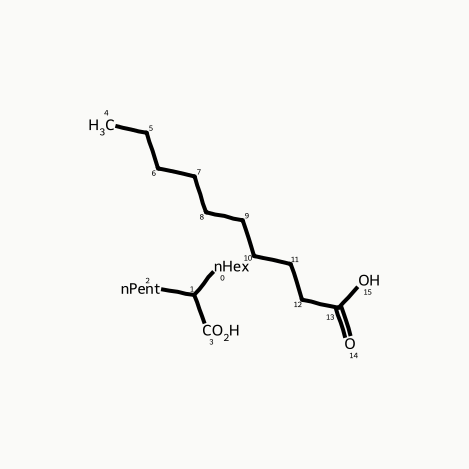 CCCCCCC(CCCCC)C(=O)O.CCCCCCCCCC(=O)O